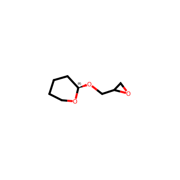 C1CC[C@@H](OCC2CO2)OC1